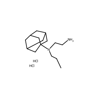 CCCN(CCN)C12CC3CC(CC(C3)C1)C2.Cl.Cl